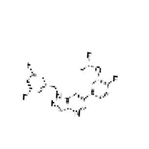 Fc1cc(F)cc(Cn2ncc3ncc(-c4ccc(F)c(OC(F)F)c4)cc32)c1